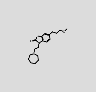 COCCCc1ccc2c(c1)sc(=O)n2CCN1CCCCCC1